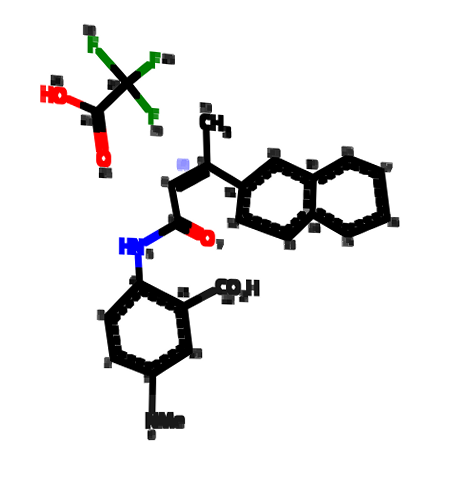 CNc1ccc(NC(=O)/C=C(/C)c2ccc3ccccc3c2)c(C(=O)O)c1.O=C(O)C(F)(F)F